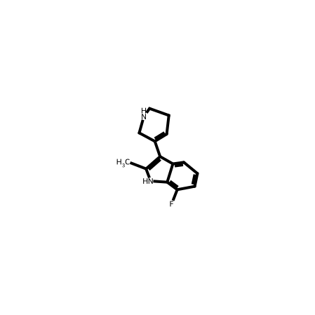 Cc1[nH]c2c(F)cccc2c1C1=CCCNC1